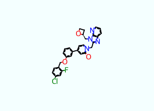 O=c1cc(-c2cccc(OCc3ccc(Cl)cc3F)c2)ccn1Cc1nc2cccnc2n1C[C@@H]1CCO1